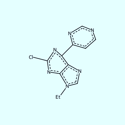 CCn1cnc2c(-c3ccncn3)nc(Cl)nc21